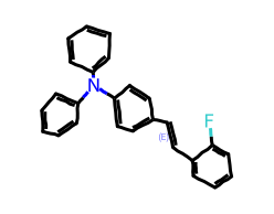 Fc1ccccc1/C=C/c1ccc(N(c2ccccc2)c2ccccc2)cc1